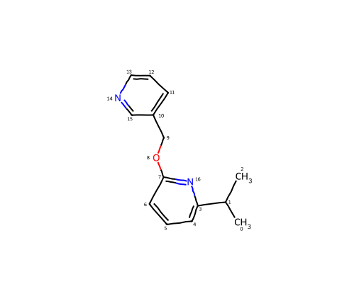 CC(C)c1cccc(OCc2cccnc2)n1